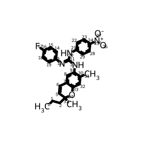 CCCC1(C)C=Cc2cc(NC(=Nc3ccc(F)cc3)Nc3ccc([N+](=O)[O-])cc3)c(C)cc2O1